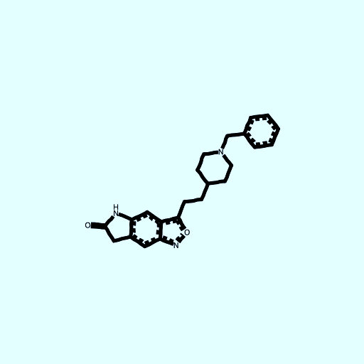 O=C1Cc2cc3noc(CCC4CCN(Cc5ccccc5)CC4)c3cc2N1